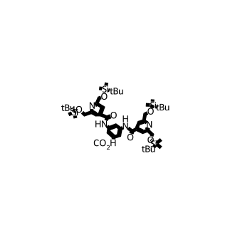 CC(C)(C)[Si](C)(C)OCc1cc(C(=O)Nc2cc(NC(=O)c3cc(CO[Si](C)(C)C(C)(C)C)nc(CO[Si](C)(C)C(C)(C)C)c3)cc(C(=O)O)c2)cc(CO[Si](C)(C)C(C)(C)C)n1